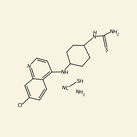 N.N#CS.NC(=S)NC1CCC(Nc2ccnc3cc(Cl)ccc23)CC1